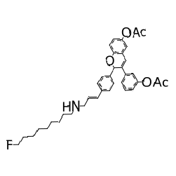 CC(=O)Oc1cccc(C2=Cc3cc(OC(C)=O)ccc3OC2c2ccc(/C=C/CNCCCCCCCCCF)cc2)c1